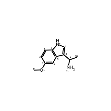 COc1ccc2[nH]cc(C(C)N)c2c1